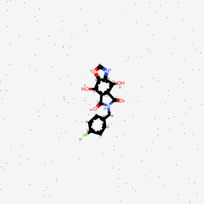 O=C1c2c(c(O)c3ocnc3c2O)C(=O)N1Cc1ccc(F)cc1